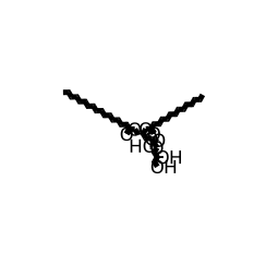 CCCCCCCCCCCCCCCCC(=O)OC[C@H](COP(=O)(O)OC[C@@H](O)CO)OC(=O)CCCCCCCCCCCCC